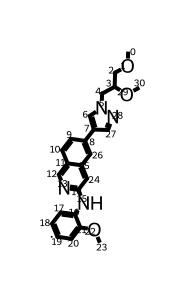 COCC(Cn1cc(-c2ccc3cnc(Nc4cc[c]cc4OC)cc3c2)cn1)OC